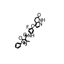 Cc1c(C(=O)Nc2ccc(Oc3ccnc4c3CCC(=O)N4)c(F)c2)c(=O)n(-c2ccccc2)n1C